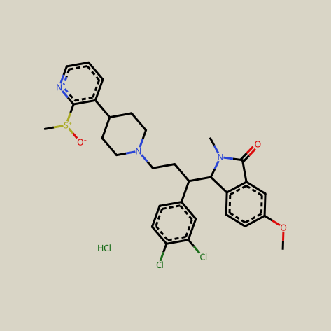 COc1ccc2c(c1)C(=O)N(C)C2C(CCN1CCC(c2cccnc2[S+](C)[O-])CC1)c1ccc(Cl)c(Cl)c1.Cl